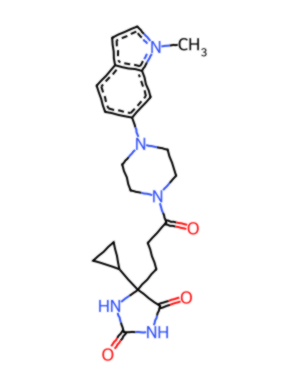 Cn1ccc2ccc(N3CCN(C(=O)CCC4(C5CC5)NC(=O)NC4=O)CC3)cc21